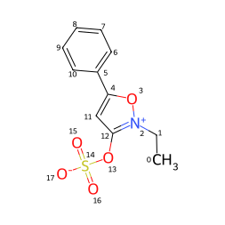 CC[n+]1oc(-c2ccccc2)cc1OS(=O)(=O)[O-]